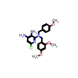 COc1ccc(CN(Cc2ccc(OC)cc2OC)c2nc(Cl)cc(N)c2N)cc1